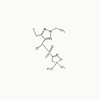 CCn1nc(CF)c(C(Cl)S(=O)(=O)C2=NOC(C)(C)C2)n1